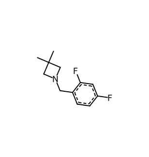 CC1(C)CN(Cc2ccc(F)cc2F)C1